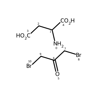 NC(CC(=O)O)C(=O)O.O=C(CBr)CBr